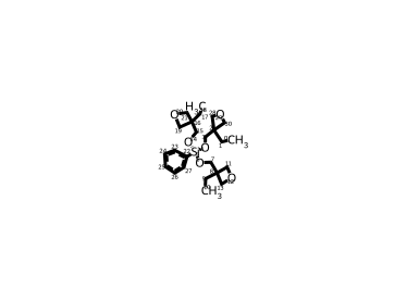 CCC1(CO[Si](OCC2(CC)COC2)(OCC2(CC)COC2)c2ccccc2)COC1